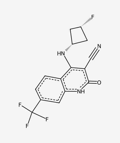 N#Cc1c(N[C@H]2C[C@@H](F)C2)c2ccc(C(F)(F)F)cc2[nH]c1=O